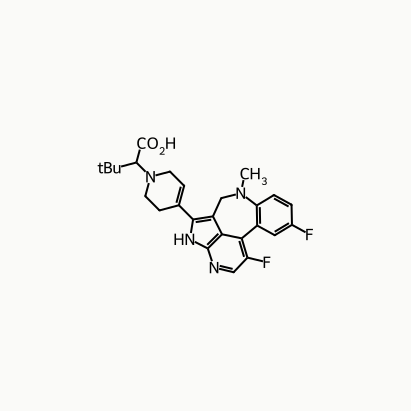 CN1Cc2c(C3=CCN(C(C(=O)O)C(C)(C)C)CC3)[nH]c3ncc(F)c(c23)-c2cc(F)ccc21